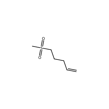 C=CCCCS(C)(=O)=O